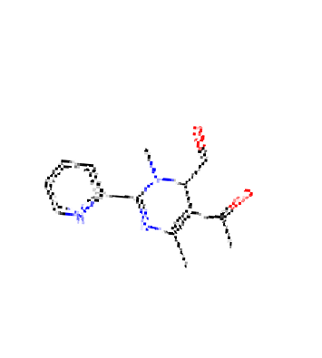 CC(=O)C1=C(C)N=C(c2ccccn2)N(C)C1C=O